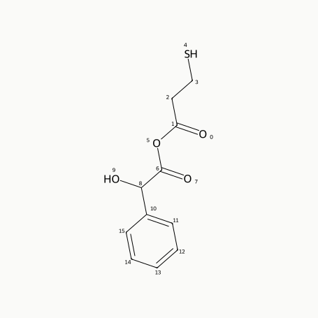 O=C(CCS)OC(=O)C(O)c1ccccc1